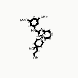 COc1cc(NC2=N[N+]3(N4CCC(O)(CCO)CC4)C=CN=CC3=N2)cc(OC)c1